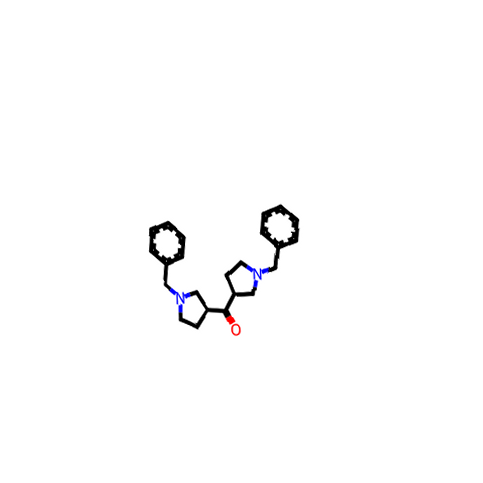 O=C(C1CCN(Cc2ccccc2)C1)C1CCN(Cc2ccccc2)C1